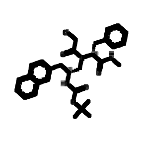 CNC(=O)[C@@H](Cc1ccccc1)N(C[C@@H](Cc1ccc2ccccc2c1)NC(=O)OC(C)(C)C)C(=O)CCl